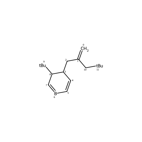 C=C(CC1C=CB=CC1C(C)(C)C)CC(C)(C)C